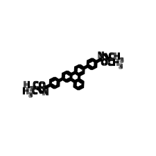 CC1(C)CN=C(c2ccc(-c3ccc4c5ccc(-c6ccc(C7=NCC(C)(C)O7)cc6)cc5c5ccccc5c4c3)cc2)O1